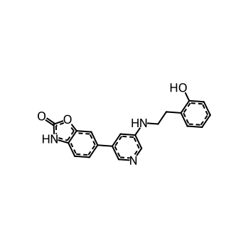 O=c1[nH]c2ccc(-c3cncc(NCCc4ccccc4O)c3)cc2o1